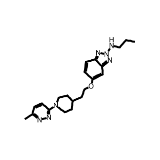 CCCNn1nc2ccc(OCCC3CCN(c4ccc(C)nn4)CC3)cc2n1